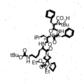 CCOP(=O)(OCC)C1(N2CCCC2)CN(C(=O)[C@@H](CCCCNC(=O)OC(C)(C)C)NC(=O)[C@@H](CC(C)C)NC(=O)[C@@H](Cc2ccccc2)NC(=O)[C@@H](Cc2ccccc2)N(C(=O)O)C(C)(C)C)C1